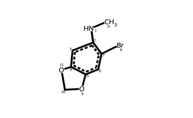 CNc1cc2c(cc1Br)OCO2